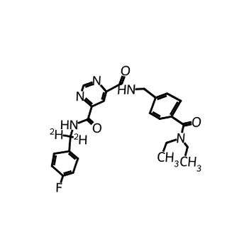 [2H]C([2H])(NC(=O)c1cc(C(=O)NCc2ccc(C(=O)N(CC)CC)cc2)ncn1)c1ccc(F)cc1